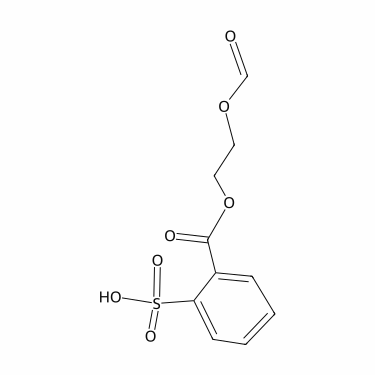 O=COCCOC(=O)c1ccccc1S(=O)(=O)O